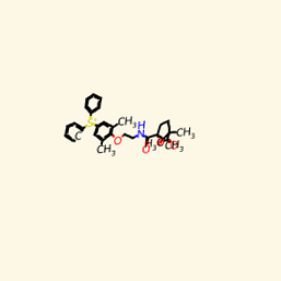 Cc1cc([S+](c2ccccc2)c2ccccc2)cc(C)c1OCCNC(=O)C12CCC(C)(C(=O)O1)C2(C)C